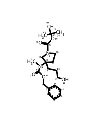 CN(C(=O)OCc1ccccc1)C1(CCCO)CCN(C(=O)OC(C)(C)C)C1